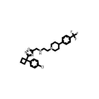 FC(F)(F)c1ccc(C2CCN(CCNCc3nc(C4(c5ccc(Cl)cc5)CCC4)no3)CC2)cc1